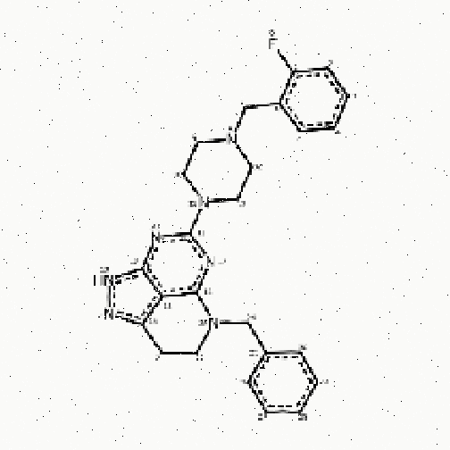 Fc1ccccc1CN1CCN(c2nc3c4c(n[nH]c4n2)CCN3Cc2ccccc2)CC1